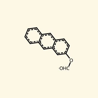 O=[C]Oc1ccc2cc3ccccc3cc2c1